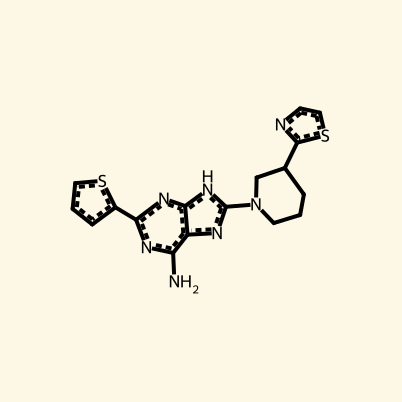 Nc1nc(-c2cccs2)nc2[nH]c(N3CCCC(c4nccs4)C3)nc12